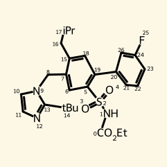 CCOC(=O)NS(=O)(=O)c1cc(Cn2ccnc2C(C)(C)C)c(CC(C)C)cc1-c1cccc(F)c1